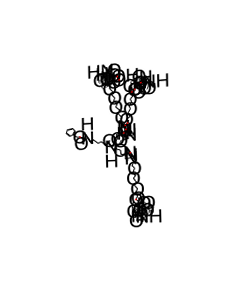 CC(=O)N[C@H]1[C@H]2OC[C@](COCCOCCOCCOCCn3cc(COCC(COCc4cn(CCOCCOCCOCCOC[C@@]56CO[C@@H](O5)[C@H](NC(C)=O)[C@@H](OC(C)=O)[C@H]6OC(C)=O)nn4)(COCc4cn(CCOCCOCCOCCOC[C@@]56CO[C@H](O5)[C@H](NC(C)=O)[C@@H](OC(C)=O)[C@H]6OC(C)O)nn4)NC(=O)CCCCCNC(=O)OCc4ccccc4)nn3)(O2)[C@H](OC(C)=O)[C@@H]1OC(C)=O